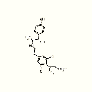 CCOC(=O)CN(C)c1c(Cl)cc(CCN[C@@H](C)[C@@H](O)c2ccc(O)cc2)cc1Cl